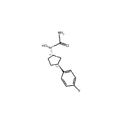 NC(=O)N(O)[C@H]1CC[C@H](c2ccc(F)cc2)C1